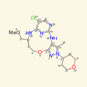 COCC1CCOc2nn(C3CCOCC3)c(C)c2Nc2ncc(Cl)c(n2)N1